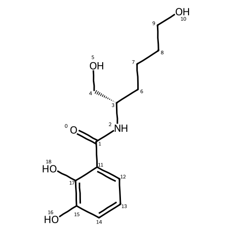 O=C(N[C@H](CO)CCCCO)c1cccc(O)c1O